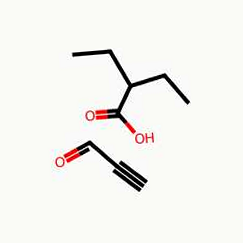 C#CC=O.CCC(CC)C(=O)O